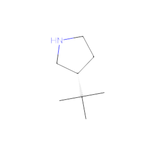 CC(C)(C)[C@H]1CCNC1